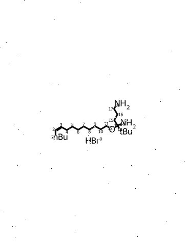 Br.CCCC/C=C\CCCCCCCCOC(N)(CCCN)C(C)(C)C